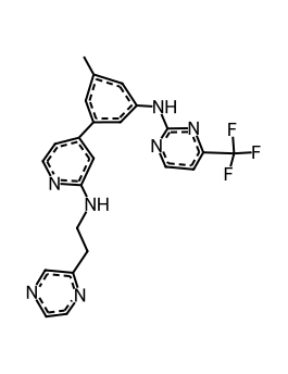 Cc1cc(Nc2nccc(C(F)(F)F)n2)cc(-c2ccnc(NCCc3cnccn3)c2)c1